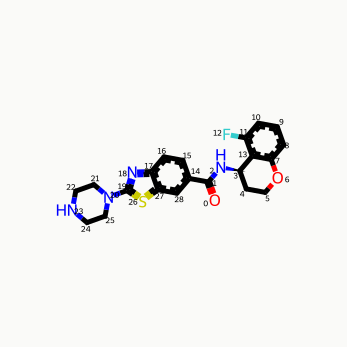 O=C(N[C@@H]1CCOc2cccc(F)c21)c1ccc2nc(N3CCNCC3)sc2c1